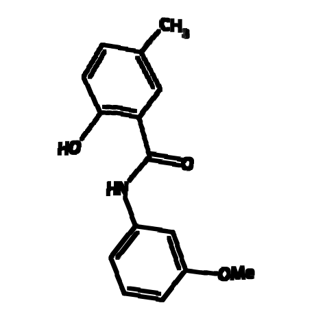 COc1cccc(NC(=O)c2cc(C)ccc2O)c1